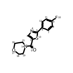 O=C(c1cnc(-c2ccc(F)cc2)s1)N1CCOCC1